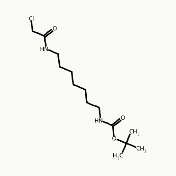 CC(C)(C)OC(=O)NCCCCCCCNC(=O)CCl